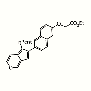 CCCCCc1c2ccocc-2cc1-c1ccc2cc(OCC(=O)OCC)ccc2c1